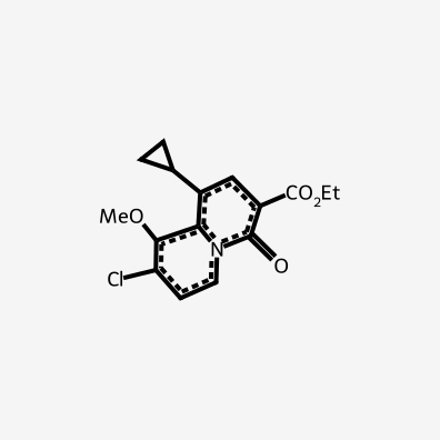 CCOC(=O)c1cc(C2CC2)c2c(OC)c(Cl)ccn2c1=O